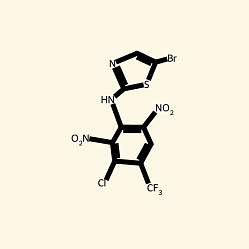 O=[N+]([O-])c1cc(C(F)(F)F)c(Cl)c([N+](=O)[O-])c1Nc1ncc(Br)s1